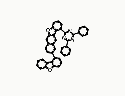 c1ccc(-c2nc(-c3ccccc3)nc(-c3cccc4oc5cc6ccc(-c7cccc8oc9ccccc9c78)cc6cc5c34)n2)cc1